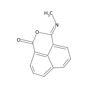 CN=C1OC(=O)c2cccc3cccc1c23